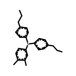 CCCc1ccc(N(c2ccc(CCC)cc2)c2ccc(C)c(C)c2)cc1